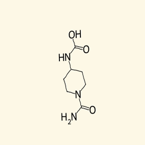 NC(=O)N1CCC(NC(=O)O)CC1